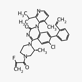 C=Cc1ccccc1-c1cc2c(cc1Cl)c(N1CCN(C(=O)C(=C)F)C[C@@H]1C)nc(=O)n2-c1c(C)ccnc1C(C)C